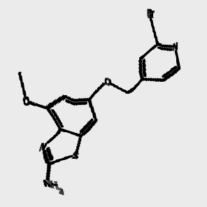 COc1cc(OCc2ccnc(Br)c2)cc2sc(N)nc12